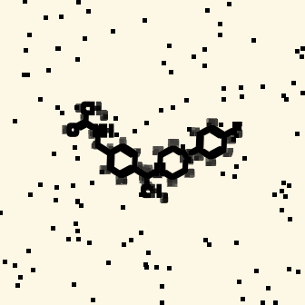 CC(=O)NCc1ccc([C@H](C)N2CCN(c3ccc(F)cc3)CC2)cc1